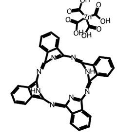 O=[C](O)[Zn]([C](=O)O)([C](=O)O)[C](=O)O.c1ccc2c(c1)-c1nc-2nc2[nH]c(nc3nc(nc4[nH]c(n1)c1ccccc41)-c1ccccc1-3)c1ccccc21